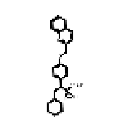 O=C(O)C1(C(CC2CCCCC2)c2ccc(OCc3ccc4ccccc4n3)cc2)NO1